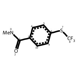 CNC(=O)c1ccc(SC(F)(F)F)cc1